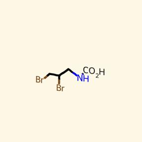 O=C(O)NCC(Br)CBr